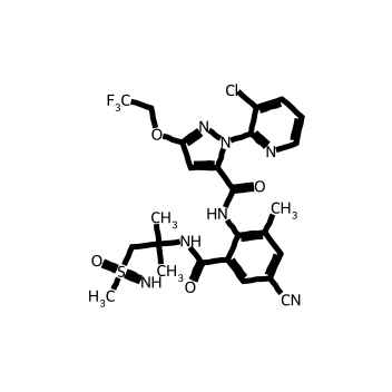 Cc1cc(C#N)cc(C(=O)NC(C)(C)CS(C)(=N)=O)c1NC(=O)c1cc(OCC(F)(F)F)nn1-c1ncccc1Cl